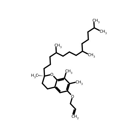 C=CCOc1cc2c(c(C)c1C)O[C@](C)(CCCC(C)CCCC(C)CCCC(C)C)CC2